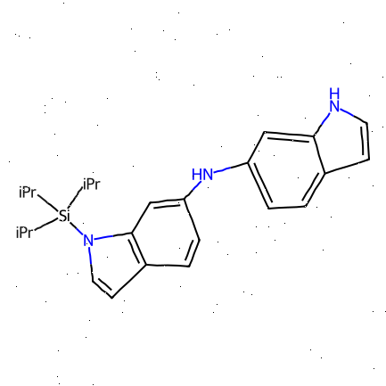 CC(C)[Si](C(C)C)(C(C)C)n1ccc2ccc(Nc3ccc4cc[nH]c4c3)cc21